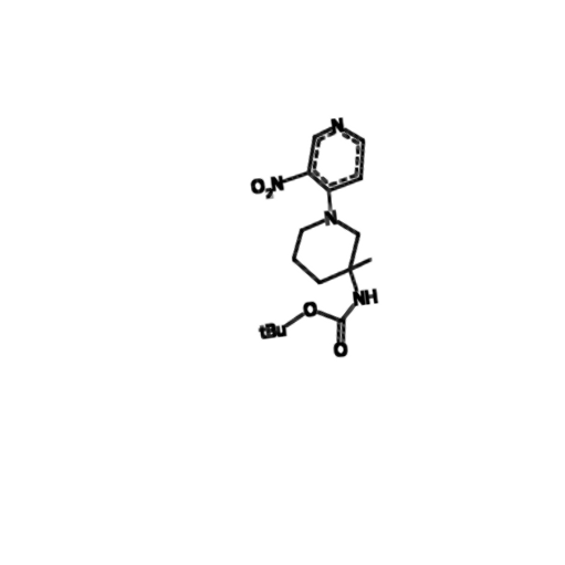 CC1(NC(=O)OC(C)(C)C)CCCN(c2ccncc2[N+](=O)[O-])C1